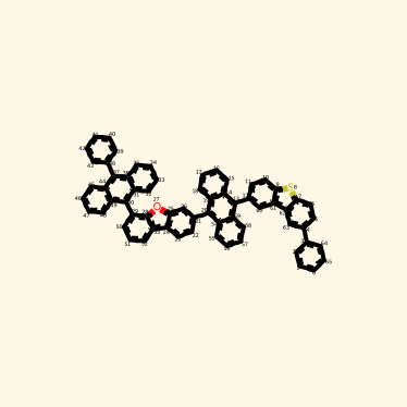 c1ccc(-c2ccc3sc4ccc(-c5c6ccccc6c(-c6ccc7c(c6)oc6c(-c8c9ccccc9c(-c9ccccc9)c9ccccc89)cccc67)c6ccccc56)cc4c3c2)cc1